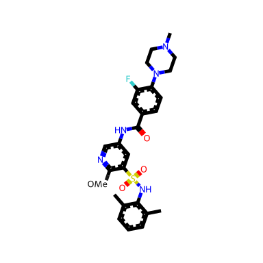 COc1ncc(NC(=O)c2ccc(N3CCN(C)CC3)c(F)c2)cc1S(=O)(=O)Nc1c(C)cccc1C